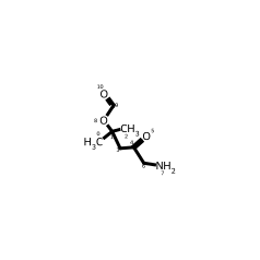 CC(C)(CC(=O)CN)O[C]=O